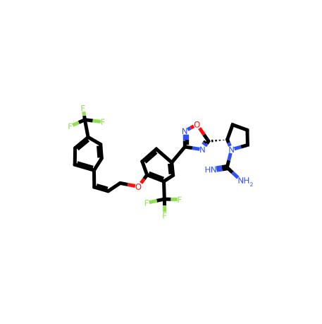 N=C(N)N1CCC[C@H]1c1nc(-c2ccc(OC/C=C\c3ccc(C(F)(F)F)cc3)c(C(F)(F)F)c2)no1